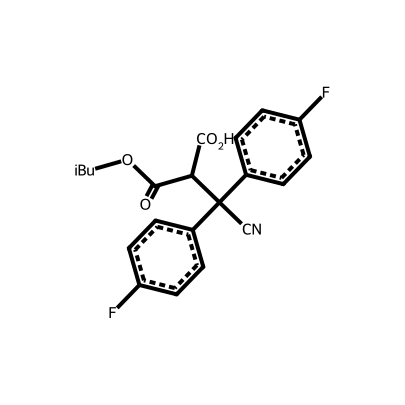 CCC(C)OC(=O)C(C(=O)O)C(C#N)(c1ccc(F)cc1)c1ccc(F)cc1